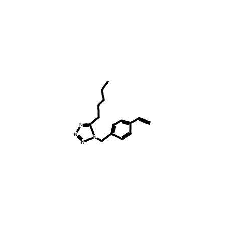 C=Cc1ccc(Cn2nnnc2CCCCC)cc1